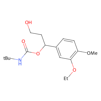 CCOc1cc(C(CCO)OC(=O)NC(C)(C)C)ccc1OC